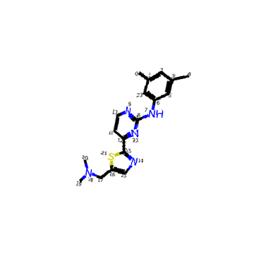 Cc1cc(C)cc(Nc2nccc(-c3ncc(CN(C)C)s3)n2)c1